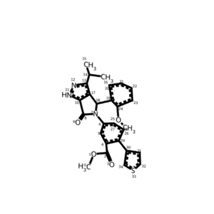 COC(=O)c1cc(N2C(=O)c3[nH]nc(C(C)C)c3C2c2ccccc2OC)ccc1-c1ccsc1